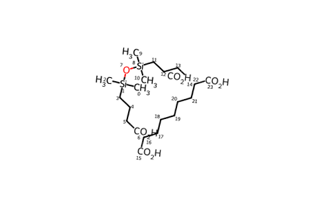 C[Si](C)(CCCC(=O)O)O[Si](C)(C)CCCC(=O)O.O=C(O)CCCCCCCC(=O)O